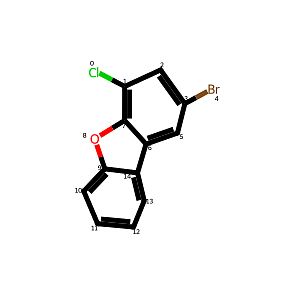 Clc1cc(Br)cc2c1oc1ccccc12